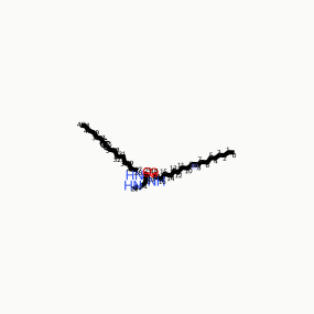 CCCCCCCC/C=C/CCCCCCCC(=O)NC(CNC)C(=O)NCCCCCCCCCCCCCCCC